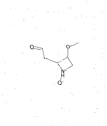 COC1C[NH+]([O-])C1CC=O